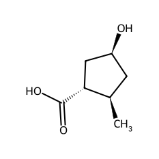 C[C@@H]1C[C@H](O)C[C@H]1C(=O)O